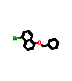 Brc1cccc2c(OCc3ccccc3)cccc12